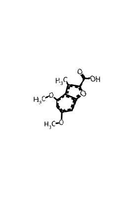 COc1cc(OC)c2c(C)c(C(=O)O)oc2c1